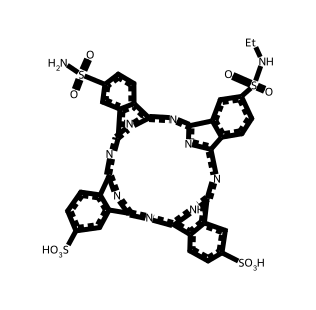 CCNS(=O)(=O)c1ccc2c(c1)-c1nc-2nc2[nH]c(nc3nc(nc4[nH]c(n1)c1ccc(S(N)(=O)=O)cc41)-c1ccc(S(=O)(=O)O)cc1-3)c1ccc(S(=O)(=O)O)cc21